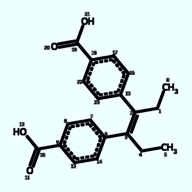 CCC(=C(CC)c1ccc(C(=O)O)cc1)c1ccc(C(=O)O)cc1